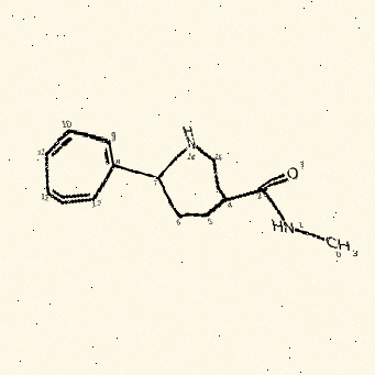 CNC(=O)C1CCC(c2ccccc2)NC1